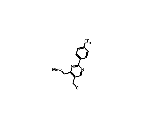 COCc1nc(-c2ccc(C(F)(F)F)cc2)ncc1CCl